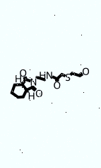 O=CCSCC(=O)NCCN1C(=O)[C@H]2CCCC[C@H]2C1=O